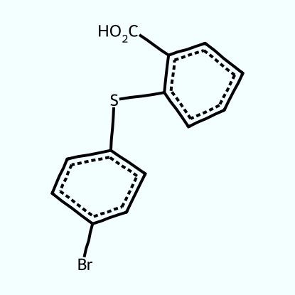 O=C(O)c1ccccc1Sc1ccc(Br)cc1